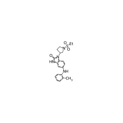 CCS(=O)(=O)N1CCC(n2c(=O)[nH]c3cc(Nc4ccccc4C)ccc32)C1